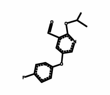 CC(C)Oc1ncc(Oc2ccc(F)cc2)cc1C=O